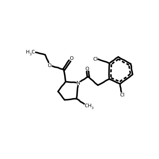 CCOC(=O)C1CCC(C)N1C(=O)Cc1c(Cl)cccc1Cl